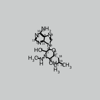 CNN1C(O)C(n2cnc3c(N)ncnc32)O[C@H](CC(C)C)C1O